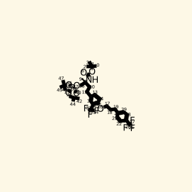 CC(C)(C)OC(=O)N[C@](C)(CCc1ccc(OCCCc2ccc(C(F)(F)F)cc2)c(C(F)(F)F)c1)COP(=O)(OC(C)(C)C)OC(C)(C)C